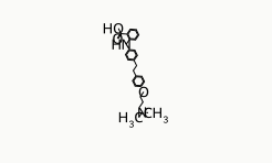 CN(C)CCCOc1ccc(CCc2ccc(Nc3ccccc3C(=O)O)cc2)cc1